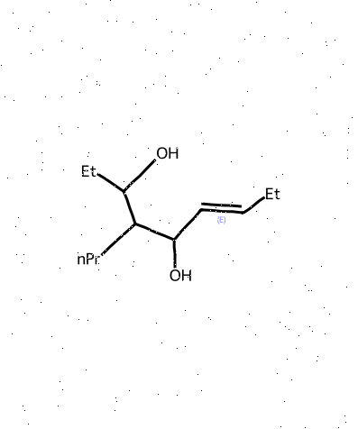 [CH2]C/C=C/C(O)C(CCC)C(O)CC